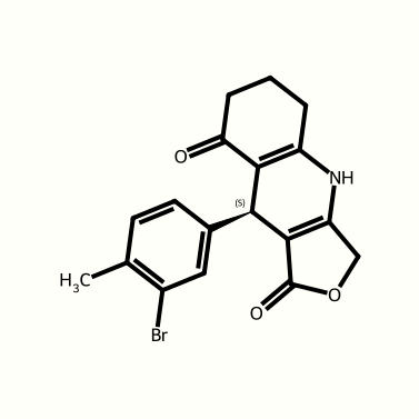 Cc1ccc([C@H]2C3=C(CCCC3=O)NC3=C2C(=O)OC3)cc1Br